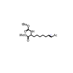 COC(=O)C(CCCCC/C=C/C(C)=O)NC(=O)OC(C)(C)C